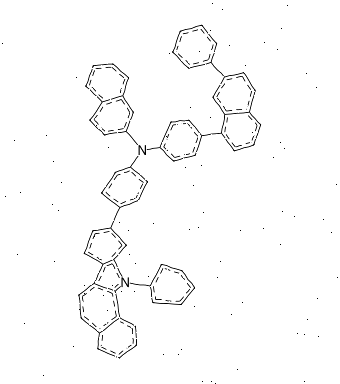 c1ccc(-c2ccc3cccc(-c4ccc(N(c5ccc(-c6ccc7c8ccc9ccccc9c8n(-c8ccccc8)c7c6)cc5)c5ccc6ccccc6c5)cc4)c3c2)cc1